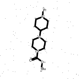 CC(C)N1CCC(N2CCN(C(=O)OC(C)(C)C)CC2)CC1